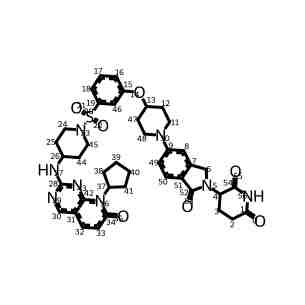 O=C1CCC(N2Cc3cc(N4CCC(Oc5cccc(S(=O)(=O)N6CCC(Nc7ncc8ccc(=O)n(C9CCCC9)c8n7)CC6)c5)CC4)ccc3C2=O)C(=O)N1